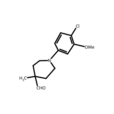 COc1cc(N2CCC(C)(C=O)CC2)ccc1Cl